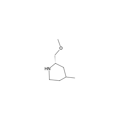 COC[C@@H]1CC(C)CCN1